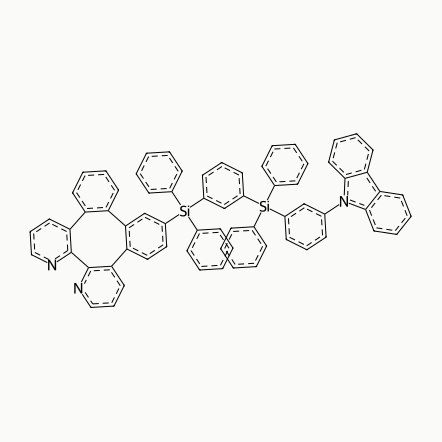 c1ccc([Si](c2ccccc2)(c2cccc(-n3c4ccccc4c4ccccc43)c2)c2cccc([Si](c3ccccc3)(c3ccccc3)c3ccc4c(c3)-c3ccccc3-c3cccnc3-c3ncccc3-4)c2)cc1